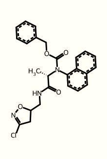 C[C@@H](C(=O)NCC1CC(Cl)=NO1)N(C(=O)OCc1ccccc1)c1cccc2ccccc12